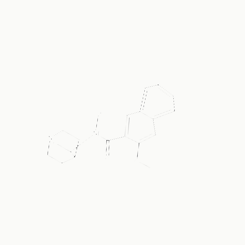 COc1cc2ccccc2cc1C(=O)[NH+]([O-])C1CN2CCC1CC2